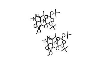 CON=C(C)C1(N(OC(=O)OC(C)(C)C)C(=O)OC(C)(C)C)C(=O)N(C)N=C1C(C)C.CON=C(C)C1(N(OC(=O)OC(C)(C)C)C(=O)OC(C)(C)C)C(=O)N(C)N=C1C(C)C